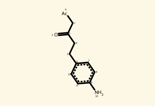 CC(=O)CC(=O)CCc1ccc(N)cc1